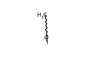 CCCCCCCCCCCCOCCI